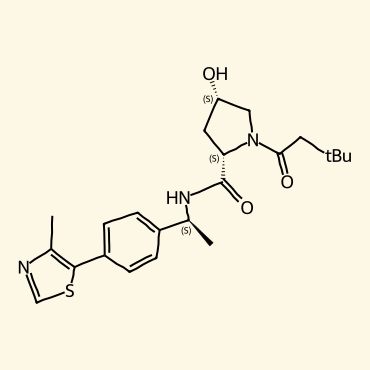 Cc1ncsc1-c1ccc([C@H](C)NC(=O)[C@@H]2C[C@H](O)CN2C(=O)CC(C)(C)C)cc1